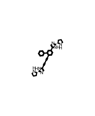 C(C#Cc1ccc(-c2cnc([C@@H]3CCCN3)[nH]2)cc1-c1ccccc1)#Cc1cnc([C@@H]2CCCN2)[nH]1